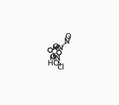 O=C1c2ccccc2C(=O)c2c(NCC(O)CCl)ccc(NCCCN3CCOCC3)c21